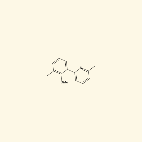 COc1c(C)cccc1-c1cccc(C)n1